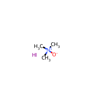 C[N+](C)(C)[O-].I